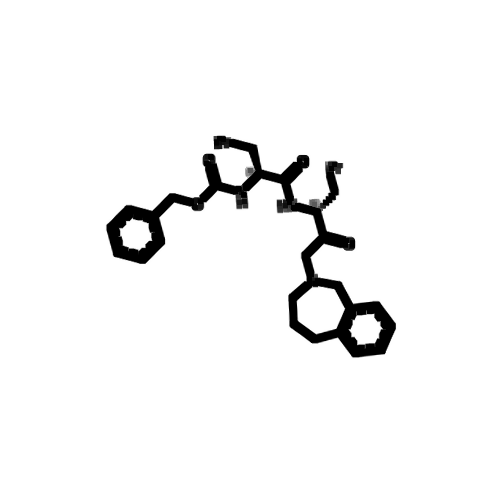 CC(C)C[C@H](NC(=O)OCc1ccccc1)C(=O)N[C@H](CC(C)C)C(=O)CN1CCCc2ccccc2C1